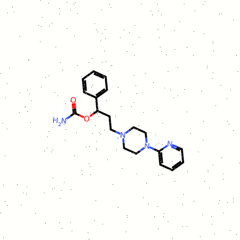 NC(=O)OC(CCN1CCN(c2ccccn2)CC1)c1ccccc1